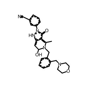 CC1=c2c([nH]n(-c3cccc(C#N)c3)c2=O)=CC(O)N1Cc1ccccc1CN1CCOCC1